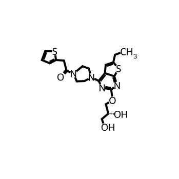 CCc1cc2c(N3CCN(C(=O)Cc4cccs4)CC3)nc(OC[C@H](O)CO)nc2s1